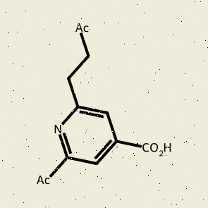 CC(=O)CCc1cc(C(=O)O)cc(C(C)=O)n1